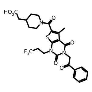 Cc1c(C(=O)N2CCC(CC(=O)O)CC2)sc2c1c(=O)n(CC(=O)c1ccccc1)c(=O)n2CCC(F)(F)F